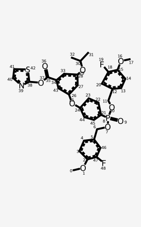 COc1ccc(COP(=O)(OCc2ccc(OC)c(F)c2)c2ccc(Oc3cc(OC(C)C)cc(C(=O)Oc4nccs4)c3)cc2)cc1F